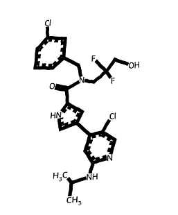 CC(C)Nc1cc(-c2c[nH]c(C(=O)N(Cc3cccc(Cl)c3)CC(F)(F)CO)c2)c(Cl)cn1